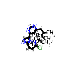 CC(Cc1cc(-c2cnc3ccc(Cl)nn23)ncn1)[Si](C)(C)C(C)(C)C